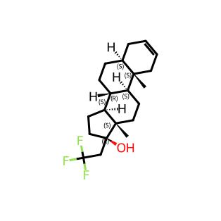 C[C@]12CC=CC[C@@H]1CC[C@@H]1[C@@H]2CC[C@@]2(C)[C@H]1CC[C@@]2(O)CC(F)(F)F